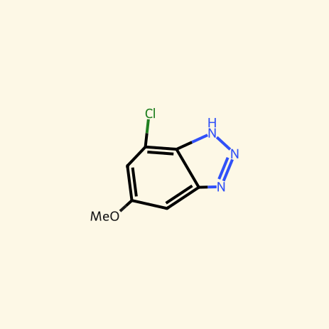 COc1cc(Cl)c2[nH]nnc2c1